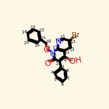 O=c1c(-c2ccccc2)c(O)c2cc(Br)cnc2n1OCc1ccccc1